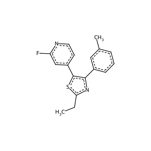 CCc1nc(-c2cccc(C)c2)c(-c2ccnc(F)c2)s1